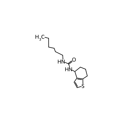 CCCCCCNC(=O)NC1CCCc2sccc21